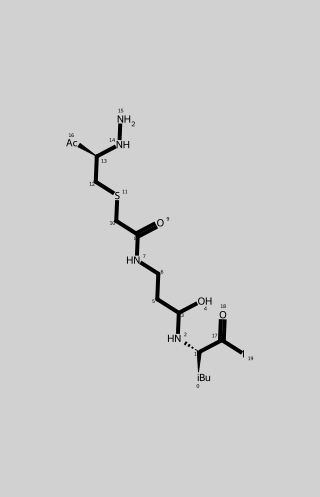 CC[C@H](C)[C@H](NC(O)CCNC(=O)CSC[C@H](NN)C(C)=O)C(=O)I